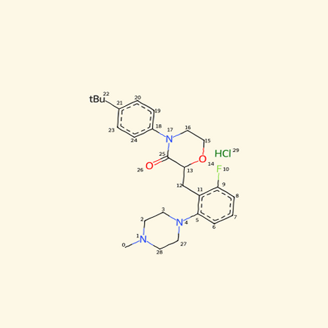 CN1CCN(c2cccc(F)c2CC2OCCN(c3ccc(C(C)(C)C)cc3)C2=O)CC1.Cl